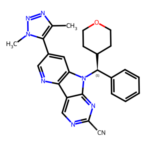 Cc1nnn(C)c1-c1cnc2c3cnc(C#N)nc3n([C@H](c3ccccc3)C3CCOCC3)c2c1